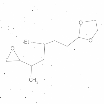 CCC(CCC1OCCO1)CC(C)C1CO1